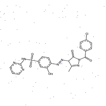 CC1=NN(C(=O)c2ccc(Cl)cc2)C(=O)C1/N=N/c1ccc(S(=O)(=O)Nc2ncccn2)cc1O